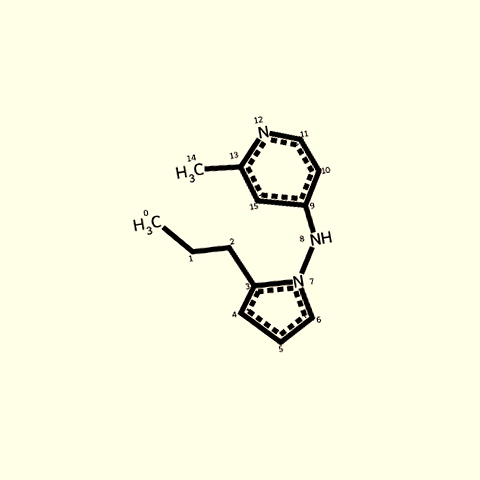 CCCc1cccn1Nc1ccnc(C)c1